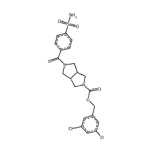 NS(=O)(=O)c1ccc(C(=O)N2CC3CN(C(=O)OCc4cc(Cl)cc(Cl)c4)CC3C2)cc1